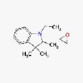 C1CO1.CCN1c2ccccc2C(C)(C)C1C